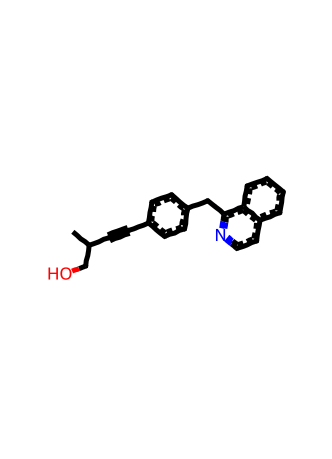 CC(C#Cc1ccc(Cc2nccc3ccccc23)cc1)CO